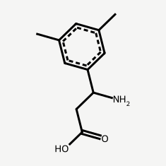 Cc1cc(C)cc(C(N)CC(=O)O)c1